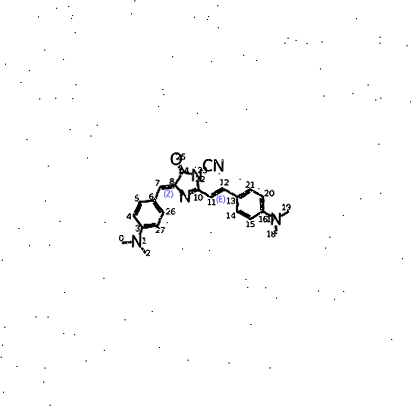 CN(C)c1ccc(/C=C2N=C(/C=C/c3ccc(N(C)C)cc3)N(C#N)C\2=O)cc1